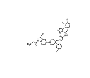 C=CC(=O)N1CC(C(C)C)c2cc(N3CCC4(CC3)C[C@@H](CC(=O)N[C@H](Cc3ccc(F)c(F)c3)c3nnco3)c3ccc(F)cc34)ccc21